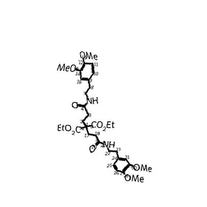 CCOC(=O)C(CCC(=O)NCCc1ccc(OC)c(OC)c1)(CCC(=O)NCCc1ccc(OC)c(OC)c1)C(=O)OCC